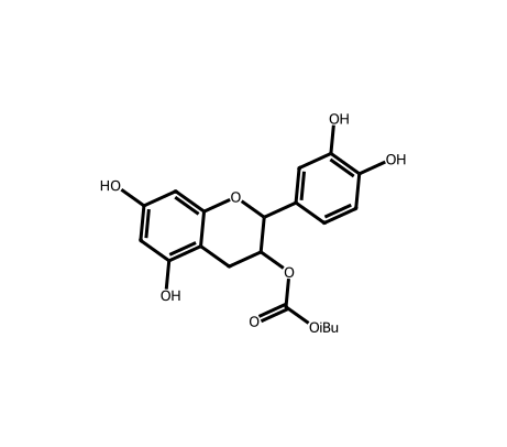 CC(C)COC(=O)OC1Cc2c(O)cc(O)cc2OC1c1ccc(O)c(O)c1